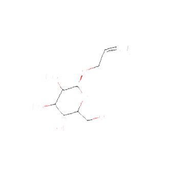 C=CCO[C@H]1OC(CO)[C@H](O)C(O)C1O